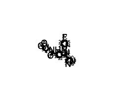 O=C(NC1CCS(=O)(=O)C1)c1ccc2c(-c3cncnc3)nn(-c3ccc(F)cc3)c2c1